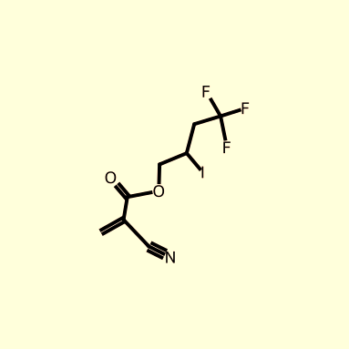 C=C(C#N)C(=O)OCC(I)CC(F)(F)F